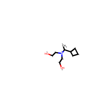 CC(C1CCC1)N(CCO)CCO